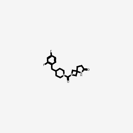 O=C1CCC2(CN(C(=O)N3CCC(Cc4ccc(F)cc4F)CC3)C2)N1